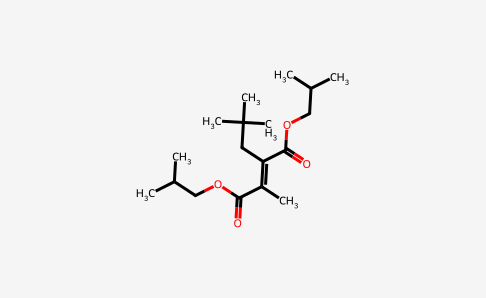 CC(C(=O)OCC(C)C)=C(CC(C)(C)C)C(=O)OCC(C)C